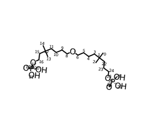 CC(C)(CCCCOCCCCC(C)(C)CCOP(=O)(O)O)CCCOP(=O)(O)O